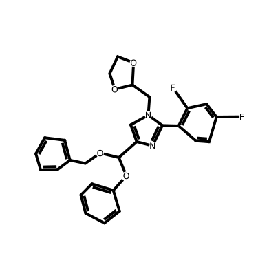 Fc1ccc(-c2nc(C(OCc3ccccc3)Oc3ccccc3)cn2CC2OCCO2)c(F)c1